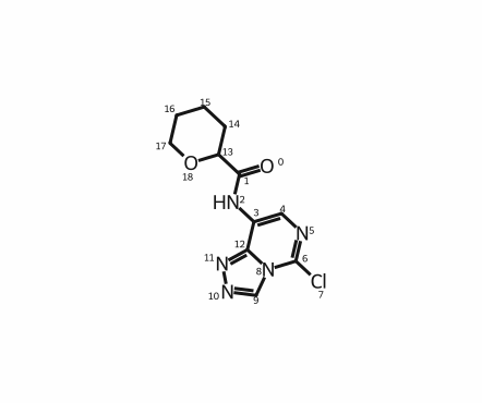 O=C(Nc1cnc(Cl)n2cnnc12)C1CCCCO1